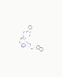 C=C1/C=C\C(C)C(C)(C23C=CC(=C2)/C=C(/C)c2ccccc2C3/C=C(C)/C=C\C(N)/C=C\Cc2ccc3ccccc3c2)\C=C/C=C\C(C)=C\1c1ccccc1